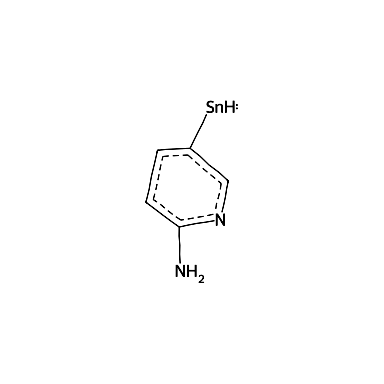 Nc1cc[c]([SnH])cn1